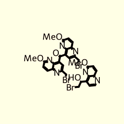 COc1ccc2nc(CBr)cc(C(=O)c3cc(CBr)nc4ccc(OC)nc34)c2n1.COc1ccc2nccc([C@@H](O)CBr)c2n1